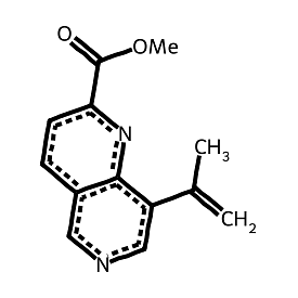 C=C(C)c1cncc2ccc(C(=O)OC)nc12